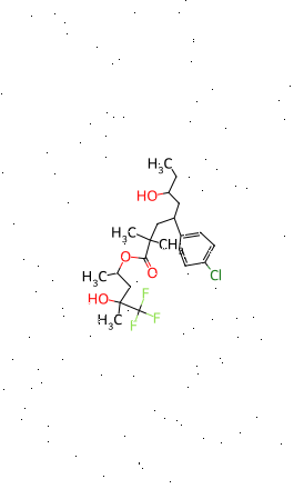 CCC(O)CC(CC(C)(C)C(=O)OC(C)CC(C)(O)C(F)(F)F)c1ccc(Cl)cc1